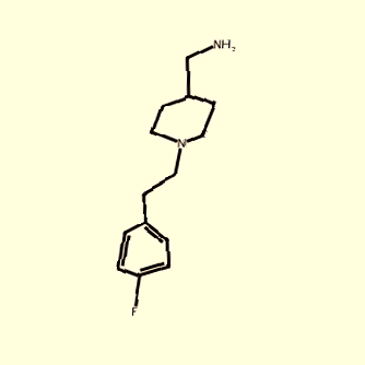 NCC1CCN(CCc2ccc(F)cc2)CC1